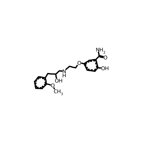 COc1ccccc1CC(O)CNCCOc1ccc(O)c(C(N)=O)c1